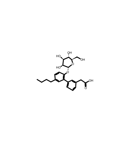 CCCCc1ccc(O[C@H]2O[C@H](CO)[C@@H](O)[C@H](O)[C@@H]2O)c(-c2cccc(CC(=O)O)c2)c1